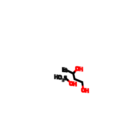 CCC(O)CCO.O=S(=O)(O)O